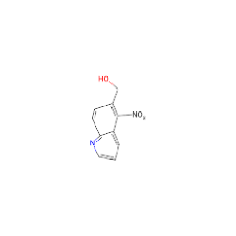 O=[N+]([O-])c1c(CO)ccc2ncccc12